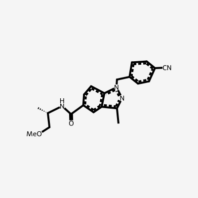 COC[C@H](C)NC(=O)c1ccc2c(c1)c(C)nn2Cc1ccc(C#N)cc1